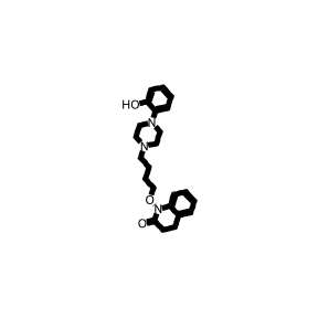 O=C1CCc2ccccc2N1OCCCCN1CCN(c2ccccc2O)CC1